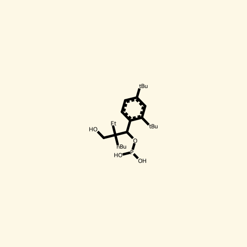 CCCCC(CC)(CO)C(OP(O)O)c1ccc(C(C)(C)C)cc1C(C)(C)C